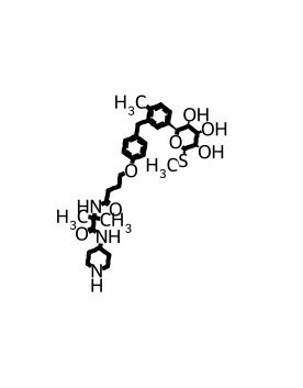 CS[C@H]1O[C@@H](c2ccc(C)c(Cc3ccc(OCCCC(=O)NC(C)(C)C(=O)NC4CCNCC4)cc3)c2)[C@H](O)[C@@H](O)[C@@H]1O